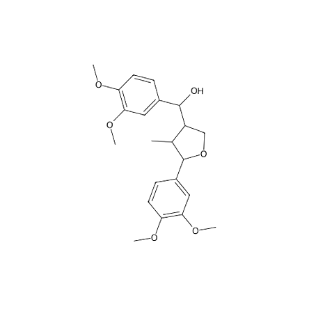 COc1ccc(C(O)C2COC(c3ccc(OC)c(OC)c3)C2C)cc1OC